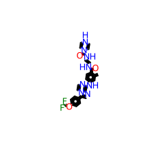 Cc1cc(Nc2nccn3c(-c4ccc(OC(F)F)cc4)cnc23)ccc1C(=O)NCCNC(=O)N1CCNCC1